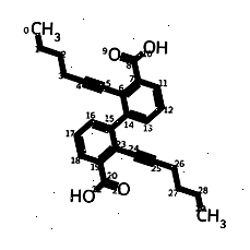 CCCCC#Cc1c(C(=O)O)cccc1-c1cccc(C(=O)O)c1C#CCCCC